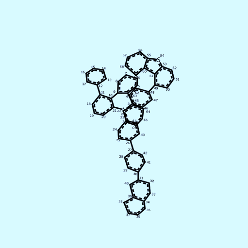 c1ccc(-c2ccccc2-c2c(-c3ccccc3)cccc2N(c2ccc(-c3ccc(-c4ccc5ccccc5c4)cc3)cc2)c2ccc(-c3cccc4sc5ccccc5c34)cc2)cc1